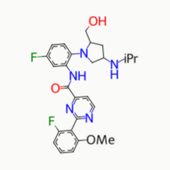 COc1cccc(F)c1-c1nccc(C(=O)Nc2cc(F)ccc2N2CC(NC(C)C)CC2CO)n1